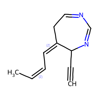 C#CC1N=CN=CC/C1=C/C=C\C